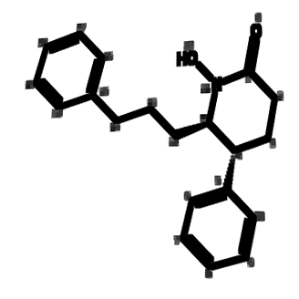 O=C1CC[C@H](c2ccccc2)[C@@H](CCCc2ccccc2)N1O